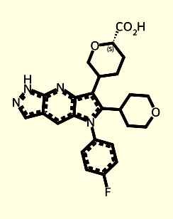 O=C(O)[C@@H]1CCC(c2c(C3CCOCC3)n(-c3ccc(F)cc3)c3cc4cn[nH]c4nc23)CO1